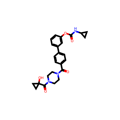 O=C(NC1CC1)Oc1cccc(-c2ccc(C(=O)N3CCN(C(=O)C4(O)CC4)CC3)cc2)c1